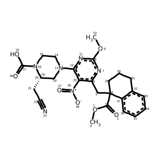 COC(=O)C1(Cc2nc(OC)nc(N3CCN(C(=O)O)[C@@H](CC#N)C3)c2[N+](=O)[O-])CCCc2ccccc21